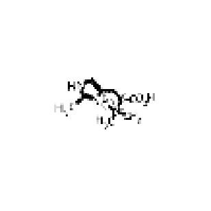 Cc1nc(C[C@@H](C(=O)O)[N+](C)(C)C)c[nH]1